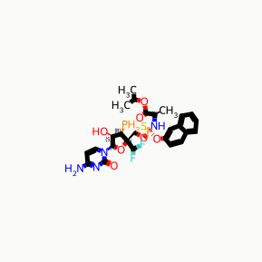 CC(C)OC(=O)[C@H](C)NP(=S)(OC[C@@]1(C(F)F)O[C@@H](n2ccc(N)nc2=O)[C@H](O)[C@H]1P)Oc1ccc2ccccc2c1